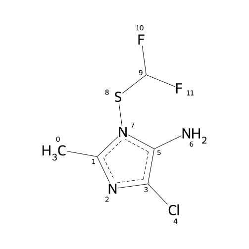 Cc1nc(Cl)c(N)n1SC(F)F